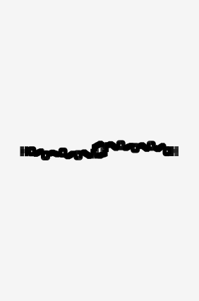 OCCOCCOCCOCCN1CCN(CCOCCOCCOCCO)CC1